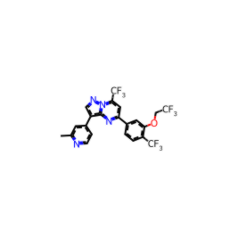 Cc1cc(-c2cnn3c(C(F)(F)F)cc(-c4ccc(C(F)(F)F)c(OCC(F)(F)F)c4)nc23)ccn1